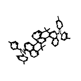 Cc1ccc(N(c2ccc(C)cc2)c2cc3c(c4ccccc24)-c2cc4c(c5cccc(c25)C3(C)C)-c2ccc(N(c3ccc(C)cc3)c3ccc(C)cc3)c3cccc(c23)C4(C)C)cc1